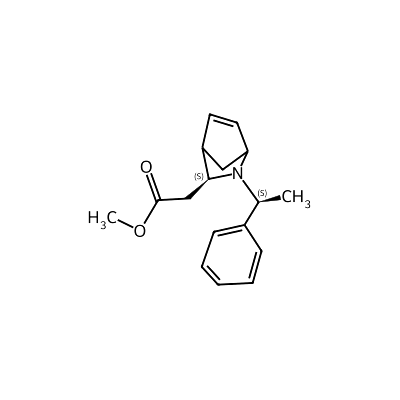 COC(=O)C[C@H]1C2C=CC(C2)N1[C@@H](C)c1ccccc1